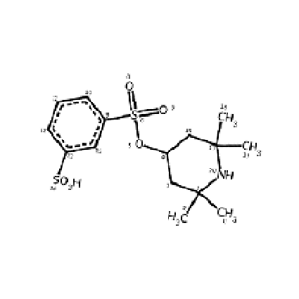 CC1(C)CC(OS(=O)(=O)c2cccc(S(=O)(=O)O)c2)CC(C)(C)N1